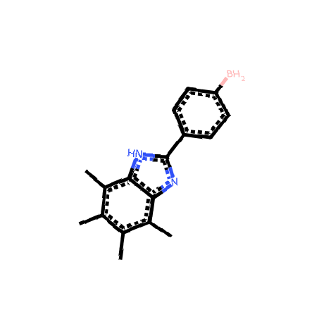 Bc1ccc(-c2nc3c(C)c(C)c(C)c(C)c3[nH]2)cc1